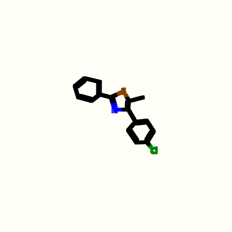 Cc1sc(-c2ccccc2)nc1-c1ccc(Cl)cc1